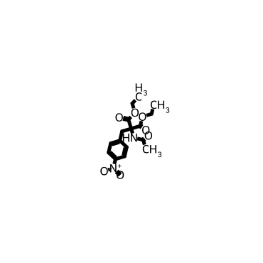 CCOC(=O)C(Cc1ccc([N+](=O)[O-])cc1)(NC(C)=O)C(=O)OCC